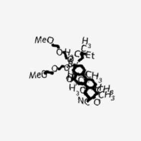 CCC(C)(C)CC[C@]1(B(OCCOCCOC)OCCOCCOC)CC[C@]2(C)[C@@H](C1)C(=O)C=C1[C@@]3(C)C=C(C#N)C(=O)C(C)(C)[C@@H]3CC[C@]12C